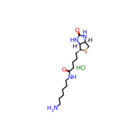 Cl.NCCCCCCNC(=O)CCCC[C@@H]1SC[C@@H]2NC(=O)N[C@@H]21